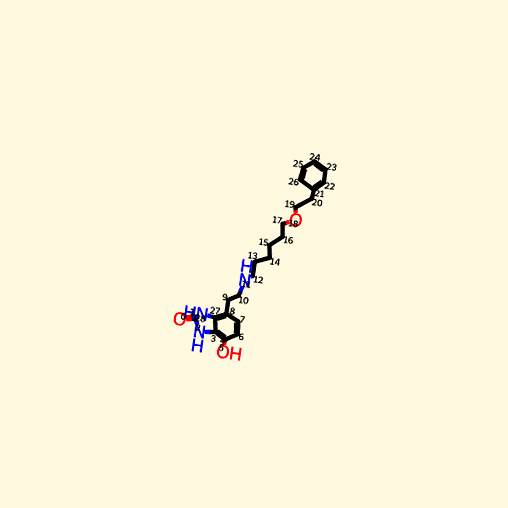 O=c1[nH]c2c(O)ccc(CCNCCCCCCOCCc3ccccc3)c2[nH]1